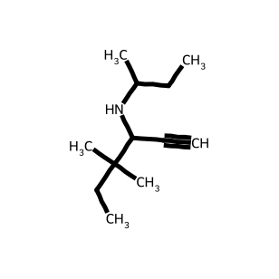 C#CC(NC(C)CC)C(C)(C)CC